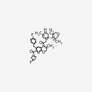 C[C@@H]1CN(CC(=O)N2c3cc(Cc4ccc(F)cc4)c(C(=O)N4CC[C@@H](F)C4)nc3OC[C@@H]2C)[C@@H](CN2[C@H](C)COC[C@H]2C)CN1